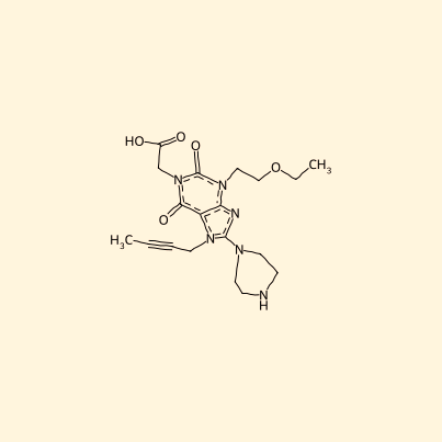 CC#CCn1c(N2CCNCC2)nc2c1c(=O)n(CC(=O)O)c(=O)n2CCOCC